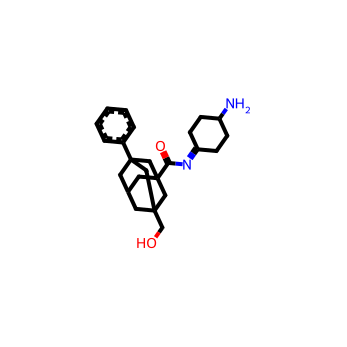 NC1CCC(=NC(=O)C23CC4CC(CO)(C2)CC(c2ccccc2)(C4)C3)CC1